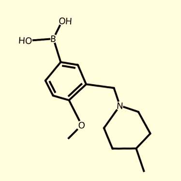 COc1ccc(B(O)O)cc1CN1CCC(C)CC1